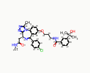 CCNC(=O)C[C@@H]1N=C(c2ccc(Cl)cc2)c2cc(OCCCNC(=O)c3cccc([Si](C)(C)O)c3)ccc2-n2c(C)nnc21